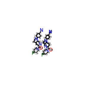 N#Cc1ccc(-n2ccc3cc(C(=O)N4CCC(F)CC4)ncc32)cc1.N#Cc1ccc(-n2ccc3nc(C(=O)N4CCC(F)CC4)ccc32)cc1